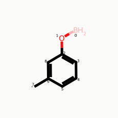 BOc1cccc([CH2])c1